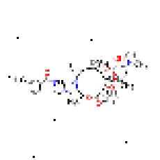 CO[C@]1(C)C[C@@H](C)CN(C)[C@@H](CN2CCN(C(=O)c3cccc(C)c3)CC2)[C@H](C)OC(=O)C(C)(C)C(=O)[C@H](C)[C@H]1O[C@@H]1O[C@H](C)C[C@H](N(C)C)[C@H]1O